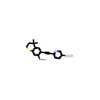 CCCCCCc1cc2c(cc1C#Cc1ccc(C(=O)OCC)cn1)C(C)(C)CCS2